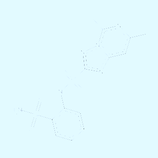 Cc1cc2nc(S(=O)(=O)Nc3ccccc3S(N)(=O)=O)nn2c(C)n1